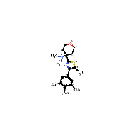 COc1c(C(C)(C)C)cc(-c2nc(C3(N(C)C)CCOCC3)sc2C)cc1C(C)(C)C